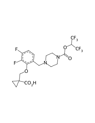 O=C(OC(C(F)(F)F)C(F)(F)F)N1CCN(Cc2ccc(F)c(F)c2OCC2(C(=O)O)CC2)CC1